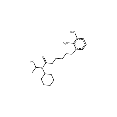 CC(O)N(C(=O)CCCCOc1cccc(C=O)c1[N+](=O)[O-])C1CCCCC1